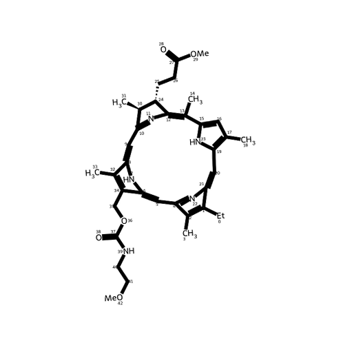 CCC1=C(C)c2cc3[nH]c(cc4nc(c(C)c5cc(C)c(cc1n2)[nH]5)[C@@H](CCC(=O)OC)[C@@H]4C)c(C)c3COC(=O)NCCOC